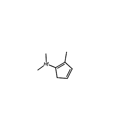 CC1=[C]([Hf]([CH3])[CH3])CC=C1